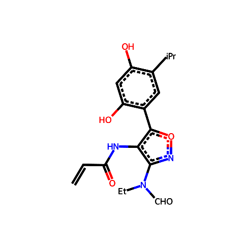 C=CC(=O)Nc1c(N(C=O)CC)noc1-c1cc(C(C)C)c(O)cc1O